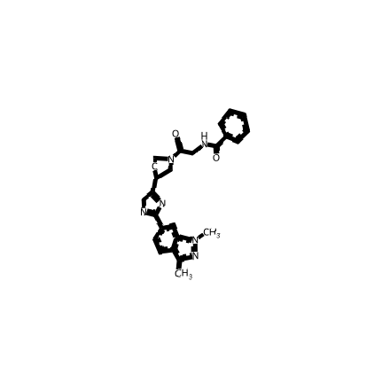 Cc1nn(C)c2cc(C3=NCC(C4CCN(C(=O)CNC(=O)c5ccccc5)C4)=N3)ccc12